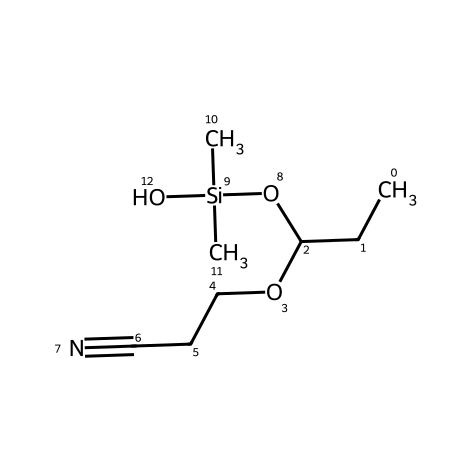 CCC(OCCC#N)O[Si](C)(C)O